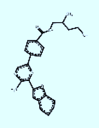 CC(CCO)CNC(=O)c1ccc(-c2cnc(N)c(-c3cc4ccccc4o3)n2)cc1